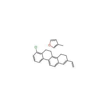 C=CC1=Cc2ccc3c(c2CC1)CCc1c(Cl)cccc1-3.Cc1ccoc1